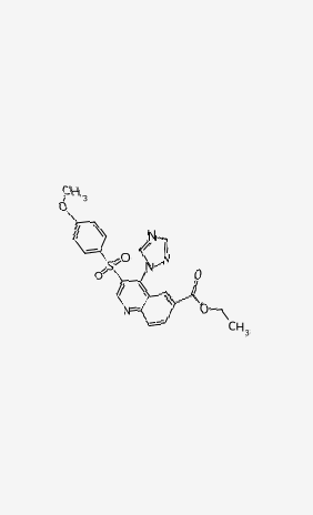 CCOC(=O)c1ccc2ncc(S(=O)(=O)c3ccc(OC)cc3)c(-n3cncn3)c2c1